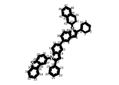 C1=CCCC(c2cc3cc(-c4ccc5c(c4)cc(-c4ccccc4)n5-c4ccc5sc6ccccc6c5c4)ccc3n2C2C=c3ccccc3=CC2)=C1